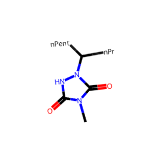 CCCCCC(CCC)n1[nH]c(=O)n(C)c1=O